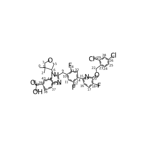 CC1(C)COC[C@H]1n1c(Cc2cc(F)c(-c3ccc(F)c(OCc4ccc(Cl)cc4Cl)n3)cc2F)nc2ccc(C(=O)O)cc21